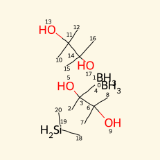 B.B.CC(C)(O)C(C)(C)O.CC(C)(O)C(C)(C)O.C[SiH2]C